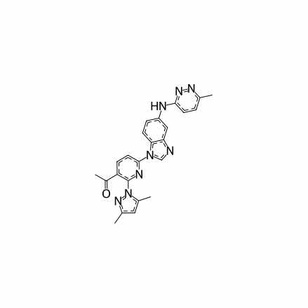 CC(=O)c1ccc(-n2cnc3cc(Nc4ccc(C)nn4)ccc32)nc1-n1nc(C)cc1C